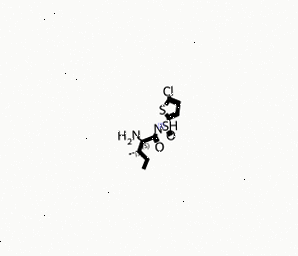 CC[C@H](C)[C@H](N)C(=O)/N=[SH](=O)/c1ccc(Cl)s1